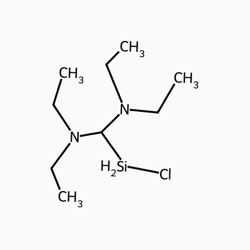 CCN(CC)C([SiH2]Cl)N(CC)CC